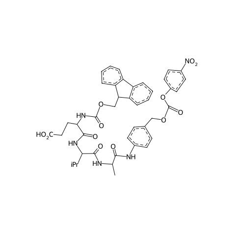 CC(NC(=O)C(NC(=O)C(CCC(=O)O)NC(=O)OCC1c2ccccc2-c2ccccc21)C(C)C)C(=O)Nc1ccc(COC(=O)Oc2ccc([N+](=O)[O-])cc2)cc1